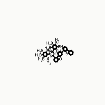 Bc1c(B)c(B)c(-c2nc(-c3c(B)c(B)c(B)c(B)c3B)nc(-c3cccc4oc5cc(-c6cccc7c6sc6ccccc67)ccc5c34)n2)c(B)c1B